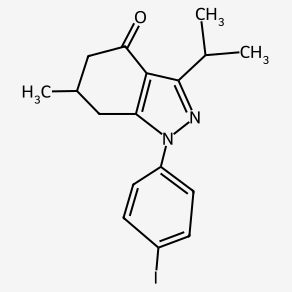 CC1CC(=O)c2c(C(C)C)nn(-c3ccc(I)cc3)c2C1